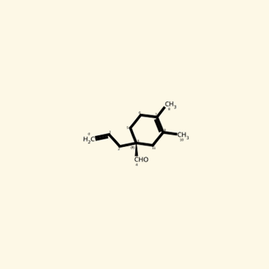 C=CC[C@]1(C=O)CCC(C)=C(C)C1